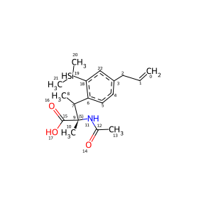 C=CCc1ccc(C(C)[C@](C)(NC(C)=O)C(=O)O)c([SiH](C)C)c1